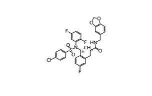 C[C@H](c1ccc(F)cc1CCC(=O)NCc1ccc2c(c1)OCO2)N(c1cc(F)ccc1F)S(=O)(=O)c1ccc(Cl)cc1